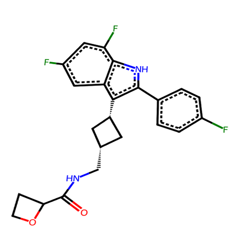 O=C(NC[C@H]1C[C@@H](c2c(-c3ccc(F)cc3)[nH]c3c(F)cc(F)cc32)C1)C1CCO1